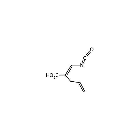 C=CCC(=CN=C=O)C(=O)O